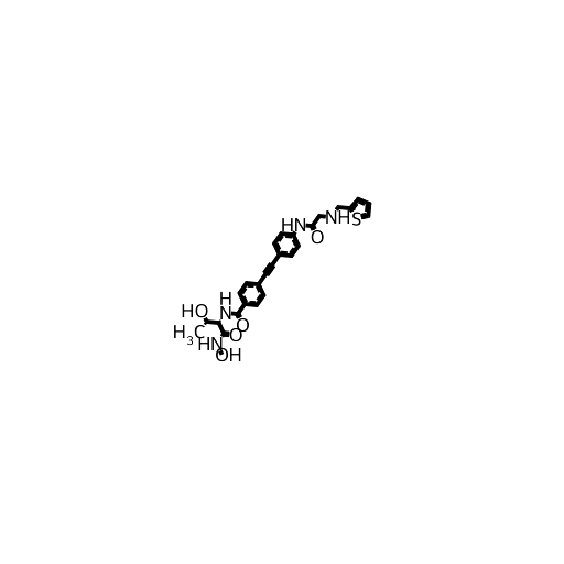 C[C@@H](O)[C@H](NC(=O)c1ccc(C#Cc2ccc(NC(=O)CNCc3cccs3)cc2)cc1)C(=O)NO